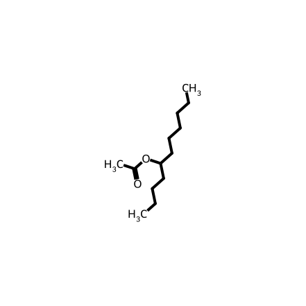 CCCCCCC(CCCC)OC(C)=O